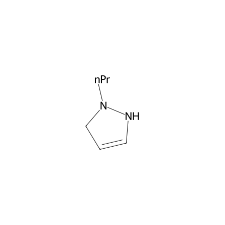 CCCN1CC=CN1